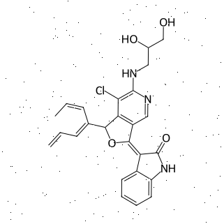 C=C/C=C(\C=C/C)C1O/C(=C2/C(=O)Nc3ccccc32)c2cnc(NCC(O)CO)c(Cl)c21